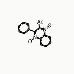 CC(=O)c1c(-c2ccccc2)[n+]([O-])c2ccccc2[n+]1[O-]